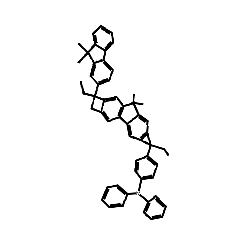 CCC1(c2ccc3c(c2)C(C)(C)c2ccccc2-3)Cc2cc3c(cc21)C(C)(C)c1cc2c(cc1-3)C2(CC)c1ccc(N(c2ccccc2)c2ccccc2)cc1